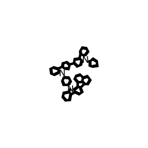 c1ccc(-n2c3ccccc3c3cc(-c4ccc5c6ccccc6n(-c6ccc(-n7c8ccccc8c8ccc9c(c87)-c7cccc8cccc-9c78)cc6)c5c4)ccc32)cc1